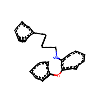 [c]1cccc(Oc2ccccc2)c1NCCCc1ccccc1